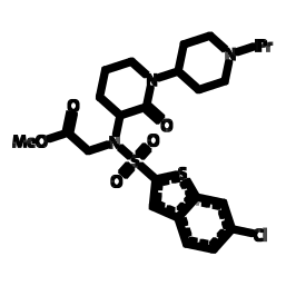 COC(=O)CN(C1CCCN(C2CCN(C(C)C)CC2)C1=O)S(=O)(=O)c1cc2ccc(Cl)cc2s1